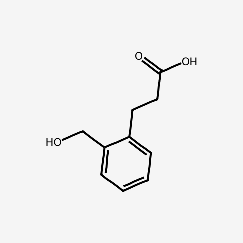 O=C(O)CCc1ccccc1CO